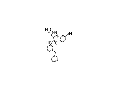 Cc1cc(C(=O)Nc2cccc(Cc3ccccc3)c2)n(-c2cccc(C#N)c2)n1